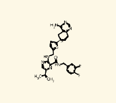 C=C(C)c1cnc(NCc2ccc([C@@H]3C=Cc4ncnc(N)c4C3)s2)c(C(=O)NCc2ccc(F)c(F)c2)n1